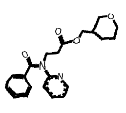 O=C(CCN(C(=O)C1=CC=C=C=C1)c1ccccn1)OCC1CCCOC1